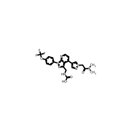 CN(C)C(=O)Cn1cc(-c2ccnc3c2c(CNC(=O)O)nn3-c2ccc(OC(F)(F)F)cc2)cn1